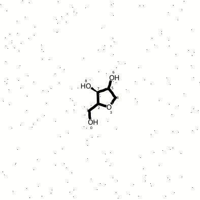 OCC1OCC(O)[C@@H]1O